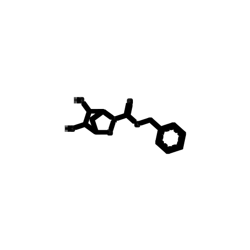 O=C(OCc1ccccc1)N1OC2CC1C(O)C2O